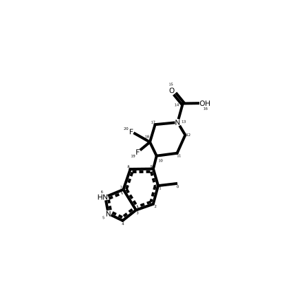 Cc1cc2cn[nH]c2cc1C1CCN(C(=O)O)CC1(F)F